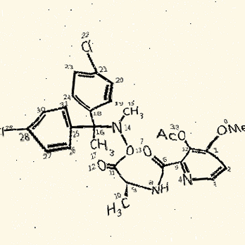 COc1ccnc(C(=O)N[C@@H](C)C(=O)ON(C)C(C)(c2ccc(Cl)cc2)c2ccc(Cl)cc2)c1OC(C)=O